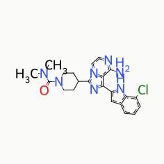 CN(C)C(=O)N1CCC(c2nc(-c3cc4cccc(Cl)c4[nH]3)c3c(N)nccn23)CC1